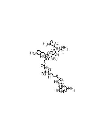 CCC(C)[C@@H](CNC(=O)CCC(=O)N[C@@H](Cc1ccc(O)cc1)C(=O)N[C@H](C(=O)N[C@@H](CCC(N)=O)C(=O)N[C@@H](CC(N)=O)C(C)=O)[C@@H](C)CC)C(=O)NCCC1C[C@@H]1C(=O)N[C@@H](Cc1cnc[nH]1)C(=O)NCC(N)=O